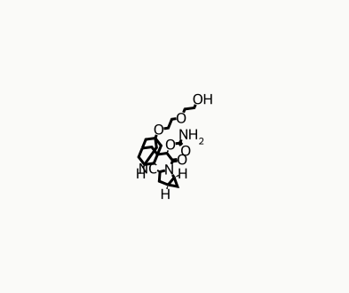 N#C[C@@H]1C[C@@H]2C[C@@H]2N1C(=O)[C@@H](OC(N)=O)C12CC3C[C@H](CC(OCCOCCO)(C3)C1)C2